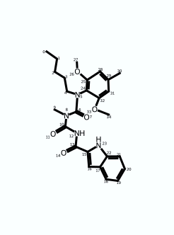 CCCCCN(C(=O)N(C)C(=O)NC(=O)c1cc2ccccc2[nH]1)c1c(OC)cc(C)cc1OC